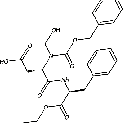 CCOC(=O)[C@H](Cc1ccccc1)NC(=O)[C@H](CC(=O)O)N(CO)C(=O)OCc1ccccc1